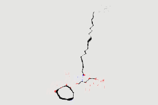 CCCCCCCCCCCCCCCCCCCCCCCCCC(=O)NC(COC1C/C=C\CC(O)C(O)C1O)C(O)CC(O)CC